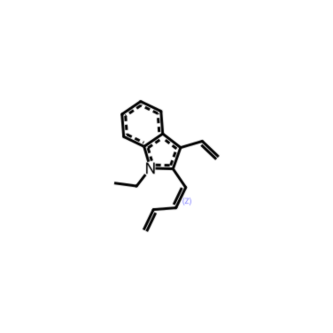 C=C/C=C\c1c(C=C)c2ccccc2n1CC